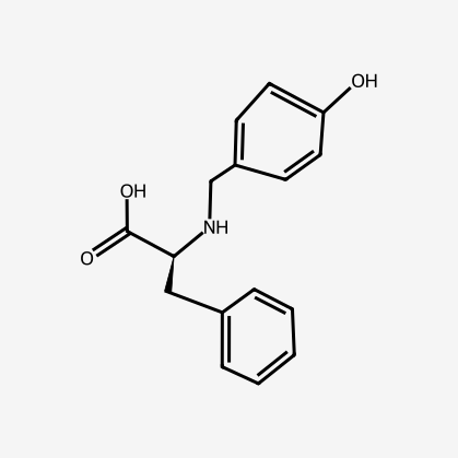 O=C(O)[C@H](Cc1ccccc1)NCc1ccc(O)cc1